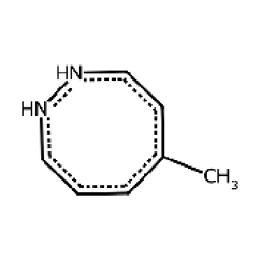 Cc1ccc[nH][nH]cc1